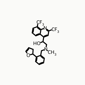 CN(Cc1ccccc1C1CC=CO1)CC(O)c1cc(C(F)(F)F)nc2c(C(F)(F)F)cccc12